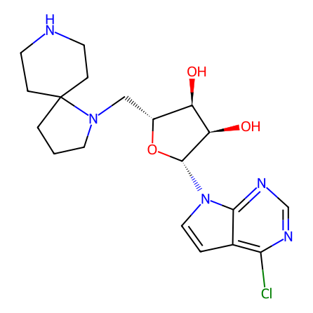 O[C@@H]1[C@H](O)[C@@H](CN2CCCC23CCNCC3)O[C@H]1n1ccc2c(Cl)ncnc21